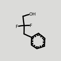 OCC(F)(F)Cc1ccccc1